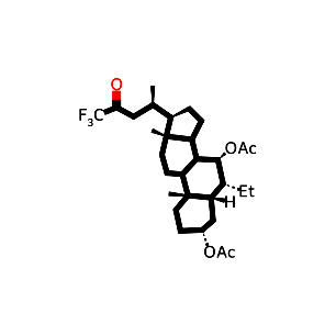 CC[C@H]1[C@@H](OC(C)=O)C2C3CC[C@H]([C@H](C)CC(=O)C(F)(F)F)[C@@]3(C)CCC2[C@@]2(C)CC[C@@H](OC(C)=O)C[C@@H]12